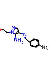 Nc1c(N=Cc2ccc([N+](=O)[O-])cc2)cnn1CCO